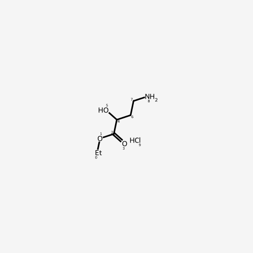 CCOC(=O)C(O)CCN.Cl